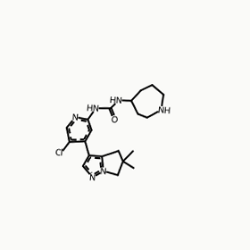 CC1(C)Cc2c(-c3cc(NC(=O)NC4CCCNCC4)ncc3Cl)cnn2C1